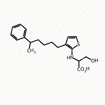 CC(CCCCc1ccsc1NC(CO)C(=O)O)c1ccccc1